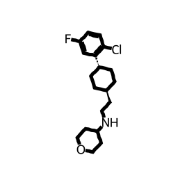 Fc1ccc(Cl)c([C@H]2CC[C@H](CCNC3CCOCC3)CC2)c1